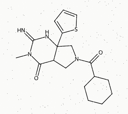 CN1C(=N)NC2(c3cccs3)CN(C(=O)C3CCCCC3)CC2C1=O